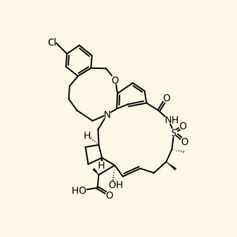 C[C@H](C(=O)O)[C@]1(O)/C=C/C[C@H](C)[C@@H](C)S(=O)(=O)NC(=O)c2ccc3c(c2)N(CCCCc2cc(Cl)ccc2CO3)C[C@@H]2CC[C@H]21